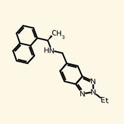 CCn1nc2ccc(CN[C@H](C)c3cccc4ccccc34)cc2n1